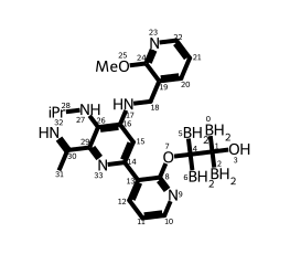 BC(B)(O)C(B)(B)Oc1ncccc1-c1cc(NCc2cccnc2OC)c(NC(C)C)c(C(C)=N)n1